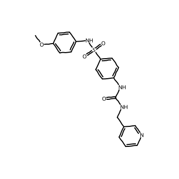 COc1ccc(NS(=O)(=O)c2ccc(NC(=O)NCc3cccnc3)cc2)cc1